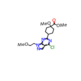 COCCn1ncc2c(Cl)nc(C3CCC(OC)(C(=O)OC)CC3)nc21